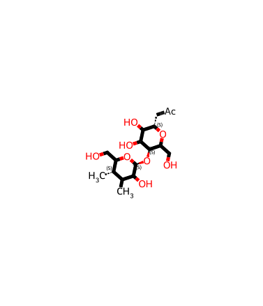 CC(=O)C[C@@H]1OC(CO)[C@@H](O[C@@H]2OC(CO)[C@@H](C)C(C)C2O)C(O)C1O